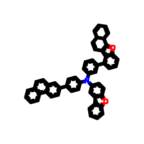 C1=CC2C=Cc3c(oc4cccc(-c5cccc(N(c6ccc(-c7ccc8c(ccc9ccccc98)c7)cc6)c6ccc7oc8ccccc8c7c6)c5)c34)C2C=C1